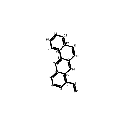 C=Cc1cccc2cc3c(ccc4ccccc43)cc12